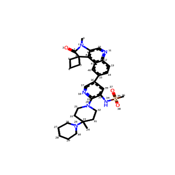 CN1C(=O)C2(CCC2)c2c1cnc1ccc(-c3cnc(N4CCC(C)(N5CCCCC5)CC4)c(NS(C)(=O)=O)c3)cc21